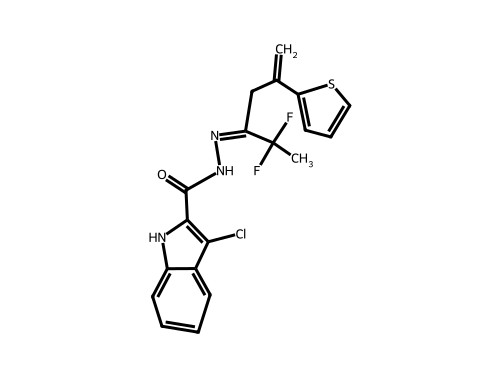 C=C(C/C(=N/NC(=O)c1[nH]c2ccccc2c1Cl)C(C)(F)F)c1cccs1